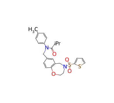 Cc1ccc(N(Cc2ccc3c(c2)CN(S(=O)(=O)c2cccs2)CCO3)C(=O)C(C)C)cc1